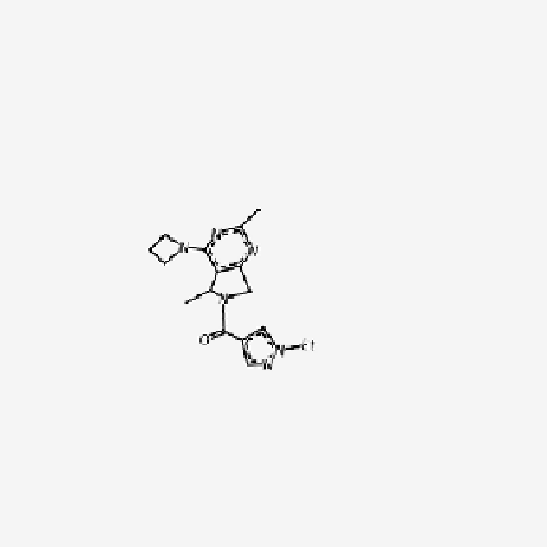 CCn1cc(C(=O)N2Cc3nc(C)nc(N4CCC4)c3C2C)cn1